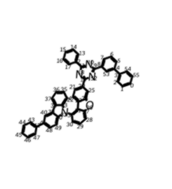 c1ccc(-c2cccc(-c3nc(-c4ccccc4)nc(-c4ccc5c(c4)oc4cccc(-n6c7ccccc7c7cc(-c8ccccc8)ccc76)c45)n3)c2)cc1